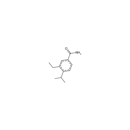 CCc1cc(C(N)=O)ccc1C(C)C